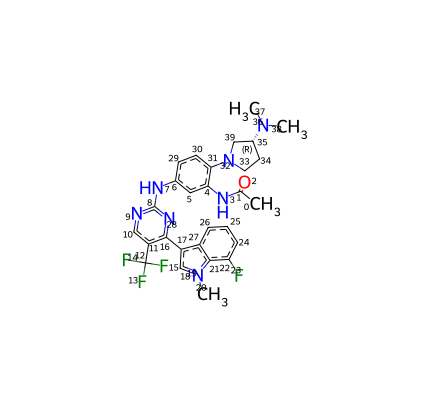 CC(=O)Nc1cc(Nc2ncc(C(F)(F)F)c(-c3cn(C)c4c(F)cccc34)n2)ccc1N1CC[C@@H](N(C)C)C1